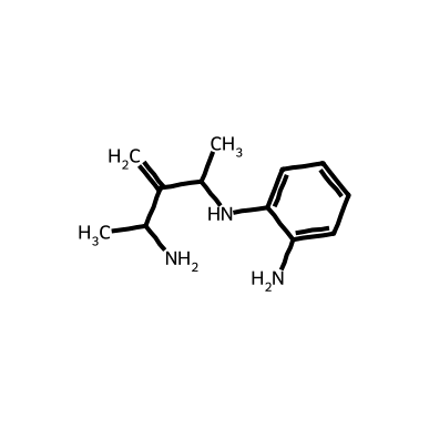 C=C(C(C)N)C(C)Nc1ccccc1N